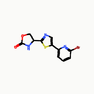 O=C1NC(c2ncc(-c3cccc(Br)n3)s2)CO1